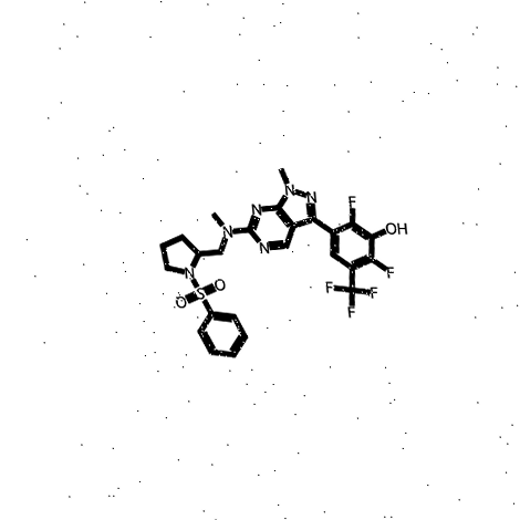 CN(CC1CCCN1S(=O)(=O)c1ccccc1)c1ncc2c(-c3cc(C(F)(F)F)c(F)c(O)c3F)nn(C)c2n1